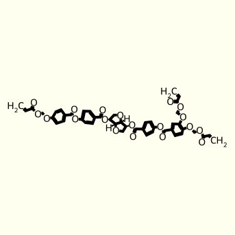 C=CC(=O)OCOc1ccc(C(=O)Oc2ccc(C(=O)O[C@@H]3CO[C@H]4[C@@H]3OC[C@@H]4OC(=O)c3ccc(OC(=O)c4ccc(OCOC(=O)C=C)c(OCOC(=O)C=C)c4)cc3)cc2)cc1